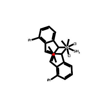 CC1=Cc2c(C(C)C)cccc2[CH]1[Zr]([CH3])([CH3])([SiH3])([Cl])([Cl])[CH]1C(C)=Cc2c(C(C)C)cccc21